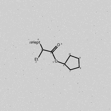 CCCCCCCC(CC)C(=O)OC1CCCC1